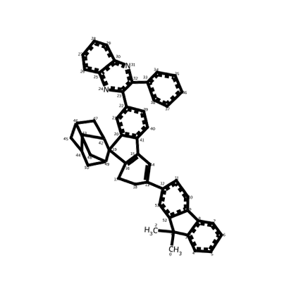 CC1(C)c2ccccc2-c2ccc(C3=CC4=C(CC3)C3(c5cc(-c6nc7ccccc7nc6-c6ccccc6)ccc54)C4CC5CC(C4)CC3C5)cc21